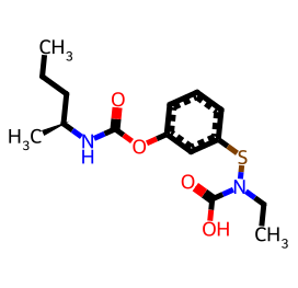 CCC[C@H](C)NC(=O)Oc1cccc(SN(CC)C(=O)O)c1